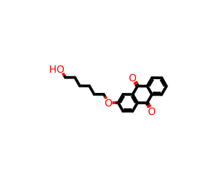 O=C1c2ccccc2C(=O)c2cc(OCCCCCCO)ccc21